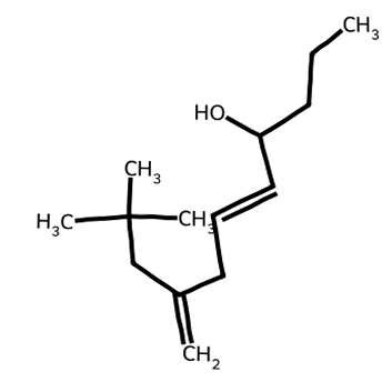 C=C(CC=CC(O)CCC)CC(C)(C)C